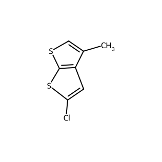 Cc1csc2sc(Cl)cc12